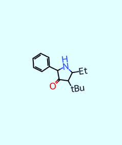 CCC1NC(c2ccccc2)C(=O)C1C(C)(C)C